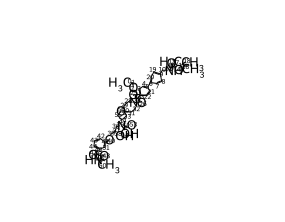 CCOc1cc(-c2ccc(CNC(=O)OC(C)(C)C)cc2)ccc1S(=O)(=O)N1CCC2(CC1)CC(N(CC(O)COc1cccc(S(=O)(=O)NC)c1)C(=O)O)CO2